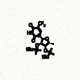 C[C@H]1O[C@@H](n2cc(C(F)(F)F)c(=O)[nH]c2=O)[C@H](O[Si](C)(C)C(C)(C)C)[C@@H]1O[Si](C)(C)C(C)(C)C